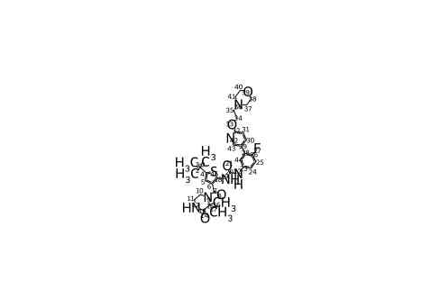 CC(C)(C)c1cc(C(=O)N2CCNC(=O)C2(C)C)c(NC(=O)Nc2ccc(F)c(-c3ccc(OCCN4CCOCC4)nc3)c2)s1